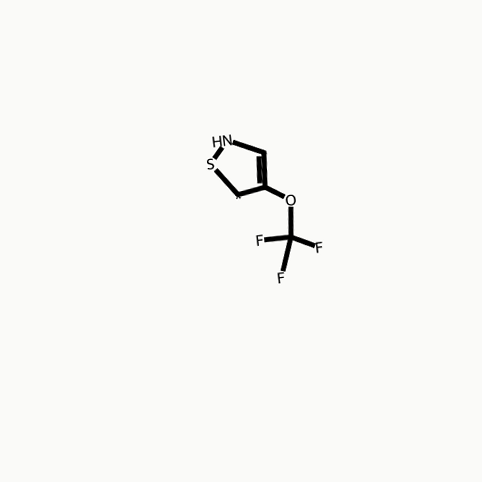 FC(F)(F)OC1=CNS[C]1